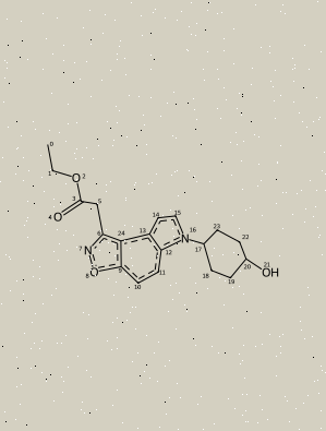 CCOC(=O)Cc1noc2ccc3c(ccn3C3CCC(O)CC3)c12